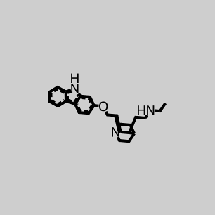 CCNCCC1C(=CCOc2ccc3c(c2)[nH]c2ccccc23)N2CCC1CC2